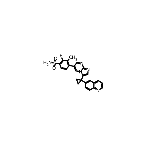 Cc1c(-c2cnc3ncc(C4(c5ccc6ncccc6c5)CC4)n3c2)ccc(S(N)(=O)=O)c1F